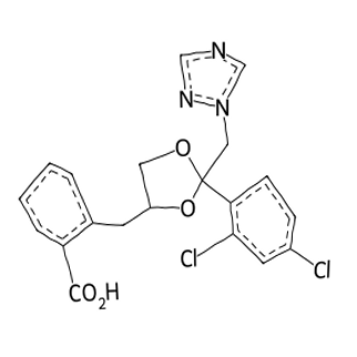 O=C(O)c1ccccc1CC1COC(Cn2cncn2)(c2ccc(Cl)cc2Cl)O1